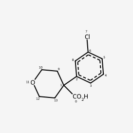 O=C(O)C1(c2cccc(Cl)c2)CCOCC1